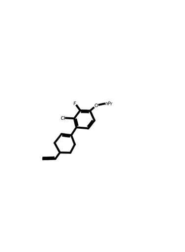 C=CC1CC=C(c2ccc(OCCC)c(F)c2Cl)CC1